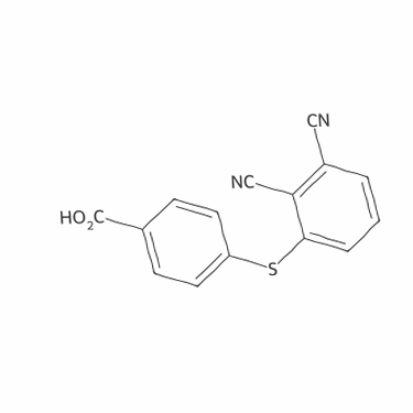 N#Cc1cccc(Sc2ccc(C(=O)O)cc2)c1C#N